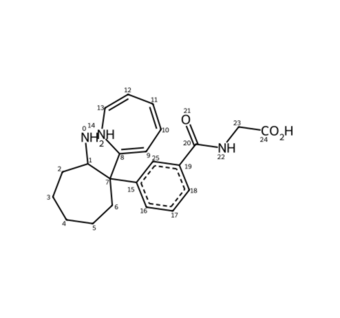 NC1CCCCCC1(C1=CC=CC=CN1)c1cccc(C(=O)NCC(=O)O)c1